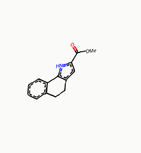 COC(=O)c1cc2c([nH]1)-c1ccccc1CC2